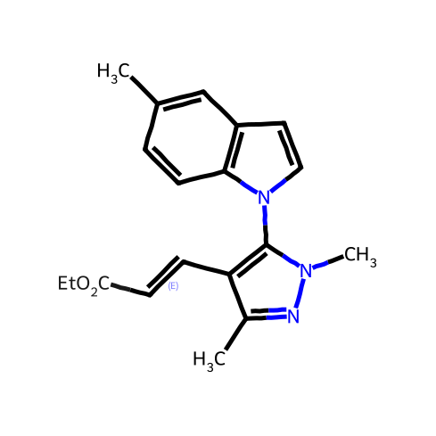 CCOC(=O)/C=C/c1c(C)nn(C)c1-n1ccc2cc(C)ccc21